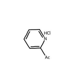 CC(=O)c1ccccn1.Cl